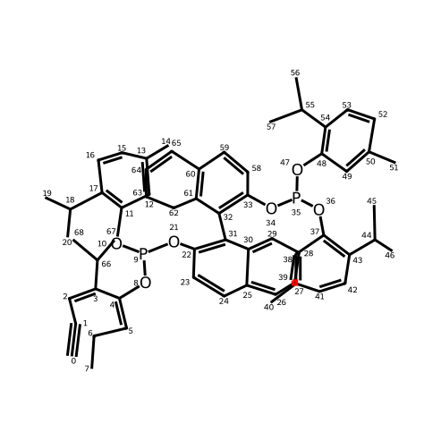 C#C/C=C(\C(=C/CC)OP(Oc1cc(C)ccc1C(C)C)Oc1ccc2ccccc2c1-c1c(OP(Oc2cc(C)ccc2C(C)C)Oc2cc(C)ccc2C(C)C)ccc2c1CCC=C2)C(C)C